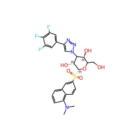 CN(C)c1cccc2cc(S(=O)(=O)[C@H]3OC(CO)[C@H](O)C(n4cc(-c5cc(F)c(F)c(F)c5)nn4)[C@H]3O)ccc12